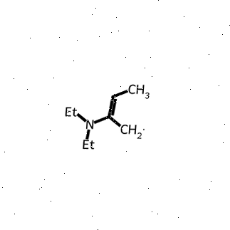 [CH2]C(=CC)N(CC)CC